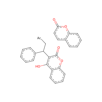 CC(=O)CC(c1ccccc1)c1c(O)c2ccccc2oc1=O.O=c1ccc2ccccc2o1